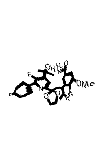 COc1cc(C(N)=O)cc2c(CC3(c4cc(C(C)(C)O)c(F)c(-c5ccc(F)cc5)n4)OCCO3)c(C)nnc12